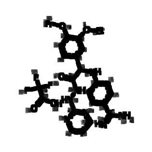 CCOc1cc(C(Nc2ccc(C(=N)N)cc2)C(=O)NNc2ncccn2)ccc1OC(C)C.O=C(O)C(F)(F)F